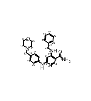 NC(=O)c1cnc(Nc2ccc(CN3CCOCC3)cc2)cc1NCc1ccccc1